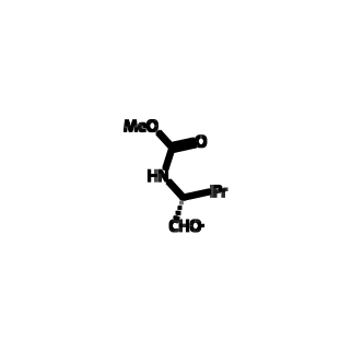 COC(=O)N[C@@H]([C]=O)C(C)C